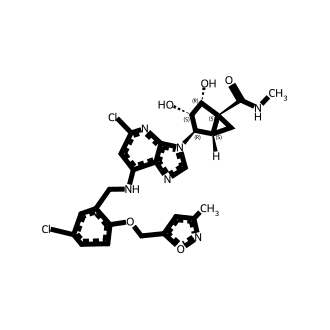 CNC(=O)[C@@]12C[C@@H]1[C@@H](n1cnc3c(NCc4cc(Cl)ccc4OCc4cc(C)no4)cc(Cl)nc31)[C@H](O)[C@@H]2O